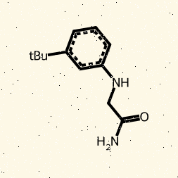 CC(C)(C)c1cccc(NCC(N)=O)c1